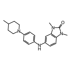 CC1CCN(c2ccc(Nc3ccc4c(c3)n(C)c(=O)n4C)cc2)CC1